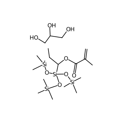 C=C(C)C(=O)OC(CC)[Si](O[Si](C)(C)C)(O[Si](C)(C)C)O[Si](C)(C)C.OCC(O)CO